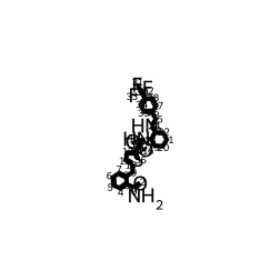 NC(=O)c1ccccc1Cc1ccc(S(=O)(=O)NC2CCCCC2NCc2ccc(C(F)(F)F)cc2)s1